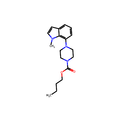 CCCCOC(=O)N1CCN(c2cccc3ccn(C)c23)CC1